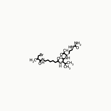 C=C(CBr)C(=O)NCCCCCC(=O)N[C@H](C(=O)N[C@@H](CCCNC(N)=O)C(C)=O)C(C)C